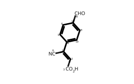 N#CC(=CC(=O)O)c1ccc(C=O)cc1